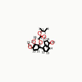 CCC(C)OC(=O)COc1c(-c2cccc3c2CCC3=O)ccc(OC)c1OC